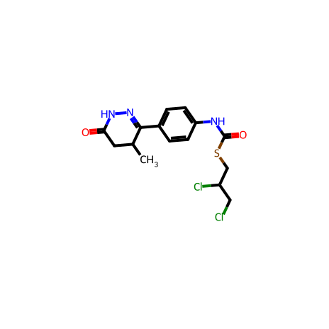 CC1CC(=O)NN=C1c1ccc(NC(=O)SCC(Cl)CCl)cc1